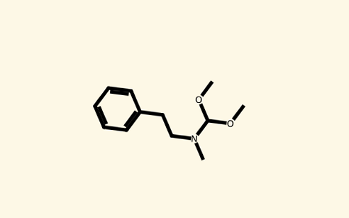 COC(OC)N(C)CCc1ccccc1